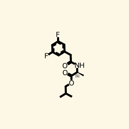 CC(C)COC(=O)[C@H](C)NC(=O)Cc1cc(F)cc(F)c1